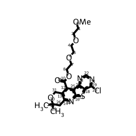 COCCOCCOCCOC(=O)c1c2c(nc3sc4c(Cl)ncnc4c13)CC(C)(C)OC2